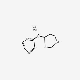 Cl.Cl.c1cnc(OC2CCNCC2)cn1